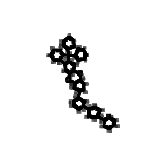 c1ccc(C2(c3ccccc3)c3ccccc3-c3cc4c(cc32)Oc2ccc(-c3cccc(-c5ccc(-c6ccccn6)cc5)c3)cc2O4)cc1